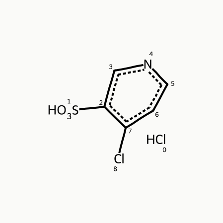 Cl.O=S(=O)(O)c1cnccc1Cl